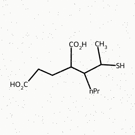 CCCC(C(C)S)C(CCC(=O)O)C(=O)O